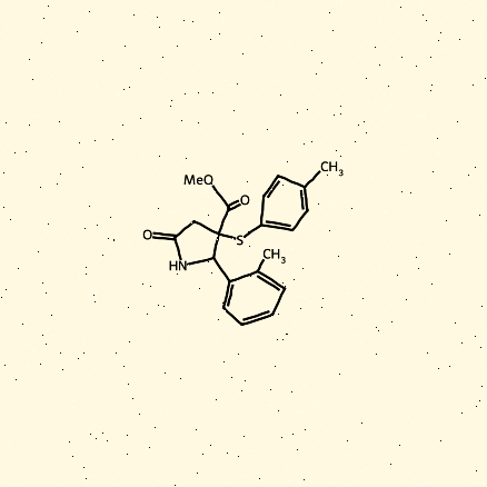 COC(=O)C1(Sc2ccc(C)cc2)CC(=O)NC1c1ccccc1C